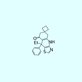 CCC1(c2ccccc2)C2=C(CC3(CCC3)CC2=O)Nc2ncsc21